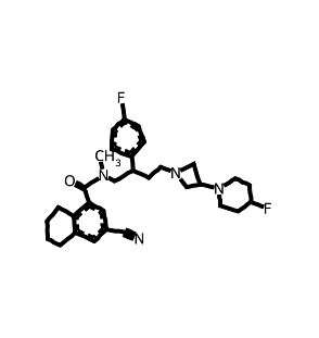 CN(CC(CCN1CC(N2CCC(F)CC2)C1)c1ccc(F)cc1)C(=O)c1cc(C#N)cc2c1CCCC2